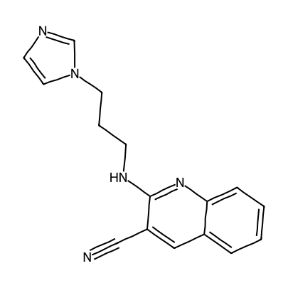 N#Cc1cc2ccccc2nc1NCCCn1ccnc1